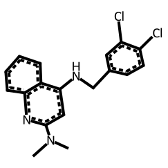 CN(C)c1cc(NCc2ccc(Cl)c(Cl)c2)c2ccccc2n1